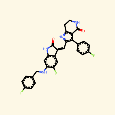 O=C1Nc2cc(NCc3ccc(F)cc3)c(F)cc2/C1=C/c1[nH]c2c(c1-c1ccc(F)cc1)C(=O)NCC2